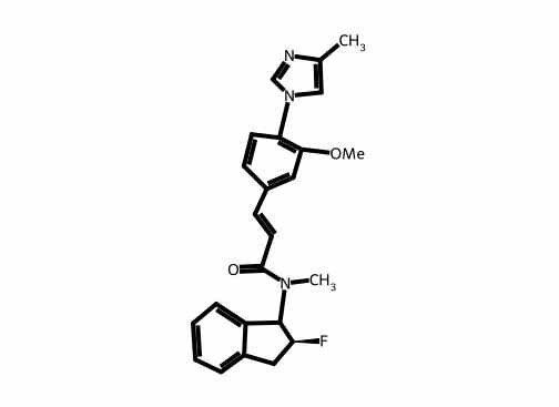 COc1cc(/C=C/C(=O)N(C)C2c3ccccc3C[C@@H]2F)ccc1-n1cnc(C)c1